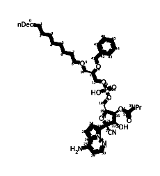 CCCCCCCCCCCCCCCCCCOC[C@H](COP(=O)(O)OC[C@H]1O[C@@](C#N)(c2ccc3c(N)ccnn23)[C@H](O)[C@@H]1OC(=O)C(C)C)OCc1ccccc1